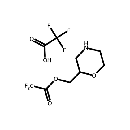 O=C(O)C(F)(F)F.O=C(OCC1CNCCO1)C(F)(F)F